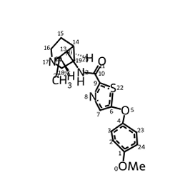 COc1ccc(Oc2cnc(C(=O)N[C@@H]3C4CCN(CC4)[C@H]3C)s2)cc1